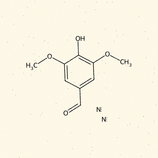 COc1cc(C=O)cc(OC)c1O.[N].[N]